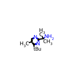 Cc1cnc(C(C)(C)N)nc1C(C)(C)C